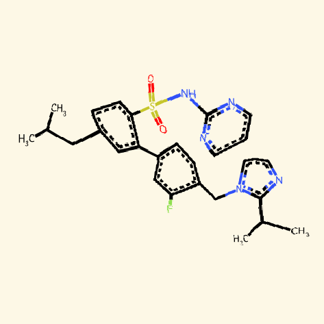 CC(C)Cc1ccc(S(=O)(=O)Nc2ncccn2)c(-c2ccc(Cn3ccnc3C(C)C)c(F)c2)c1